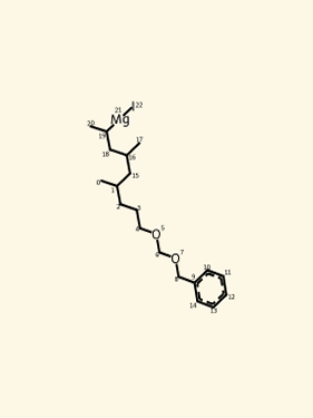 CC(CCCOCOCc1ccccc1)CC(C)C[CH](C)[Mg][I]